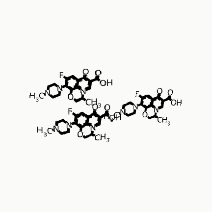 CC1COc2c(N3CCN(C)CC3)c(F)cc3c(=O)c(C(=O)O)cn1c23.CC1COc2c(N3CCN(C)CC3)c(F)cc3c(=O)c(C(=O)O)cn1c23.CC1COc2c(N3CCN(C)CC3)c(F)cc3c(=O)c(C(=O)O)cn1c23